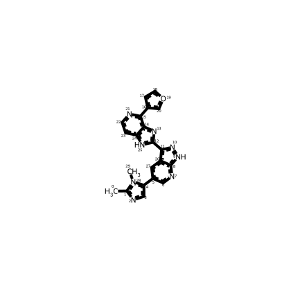 Cc1ncc(-c2cnc3[nH]nc(-c4nc5c(-c6ccoc6)nccc5[nH]4)c3c2)n1C